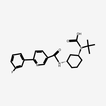 CC(C)(C)N(C(=O)O)[C@H]1CCC[C@H](NC(=O)c2ccc(-c3cccc(F)c3)nc2)C1